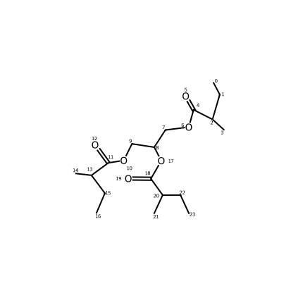 CCC(C)C(=O)OCC(COC(=O)C(C)CC)OC(=O)C(C)CC